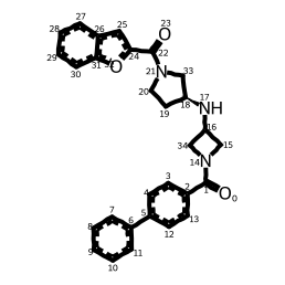 O=C(c1ccc(-c2ccccc2)cc1)N1CC(N[C@H]2CCN(C(=O)c3cc4ccccc4o3)C2)C1